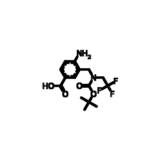 CC(C)(C)OC(=O)N(Cc1cc(C(=O)O)ccc1N)CC(F)(F)F